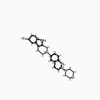 Fc1ccc2[nH]c3c(c2c1)CCN(c1ccc2nc(N4CCOCC4)ccc2c1)C3